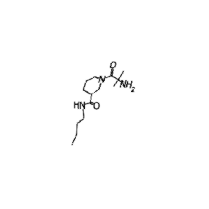 CCCCNC(=O)C1CCCN(C(=O)C(C)(C)N)C1